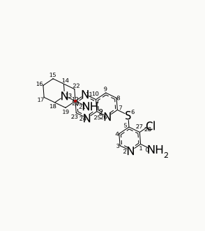 Nc1nccc(Sc2ccc3nc(N4C5CCCC4CC(N)C5)cnc3n2)c1Cl